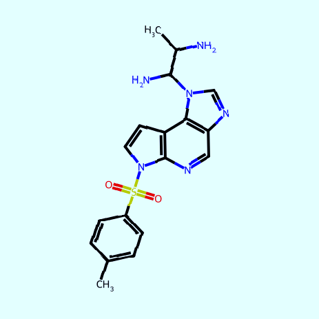 Cc1ccc(S(=O)(=O)n2ccc3c4c(cnc32)ncn4C(N)C(C)N)cc1